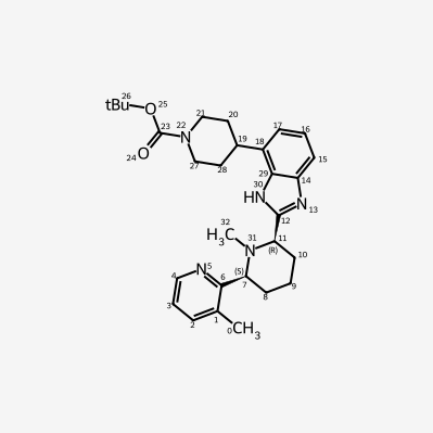 Cc1cccnc1[C@@H]1CCC[C@H](c2nc3cccc(C4CCN(C(=O)OC(C)(C)C)CC4)c3[nH]2)N1C